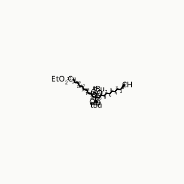 C#CCCCCCCCCCC(CCCCCCCCCCC(=O)OCC)(C(=O)OC(C)(C)C)C(=O)OC(C)(C)C